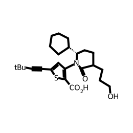 CC(C)(C)C#Cc1cc(N2C(=O)C(CCCO)CC[C@H]2C2CCCCC2)c(C(=O)O)s1